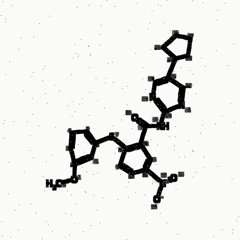 COc1cccc(Sc2ccc([N+](=O)[O-])cc2C(=O)Nc2ncc(C3CCCC3)cn2)c1